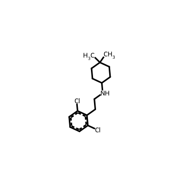 CC1(C)CCC(NCCc2c(Cl)cccc2Cl)CC1